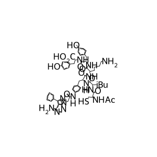 CCC(C)C(NC(=O)C(CS)NC(C)=O)C(=O)NC(Cc1ccc(NC(=O)Cn2nc(-c3ccccc3)c3c(N)ncnc32)cc1)C(=O)NC(CCCCN)C(=O)NC(Cc1ccc(O)cc1)C(=O)NC(Cc1ccc(O)cc1)C(=O)O